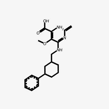 C=C/N=C(NCC1CCCC(c2ccccc2)C1)\C(OC)=C(/N)C(=O)O